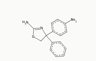 Bc1ccc(C2(c3ccccc3)COC(N)=N2)cc1